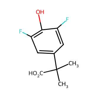 CC(C)(C(=O)O)c1cc(F)c(O)c(F)c1